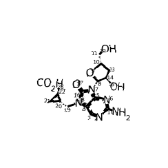 Nc1ncc2c(n1)n([C@@H]1O[C@H](CO)C[C@H]1O)c(=O)n2C[C@@H]1C[C@H]1C(=O)O